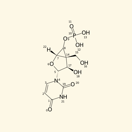 O=c1ccn([C@@H]2O[C@@H]3C(OP(=O)(O)O)[C@]3(CO)[C@H]2O)c(=O)[nH]1